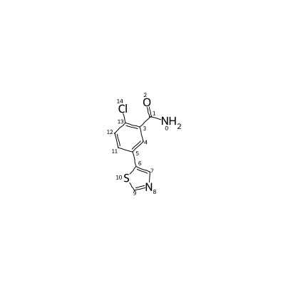 NC(=O)c1cc(-c2cncs2)ccc1Cl